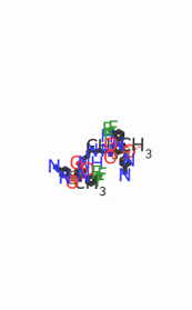 Cc1c([S+]([O-])c2ccc(C#N)cn2)cc(C(=O)NCCCN(C)CCCNC(=O)c2cc([S+]([O-])c3ccc(C#N)cn3)c(C)n(-c3cccc(C(F)(F)F)c3)c2=O)c(=O)n1-c1cccc(C(F)(F)F)c1